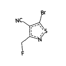 N#Cc1c(CF)nsc1Br